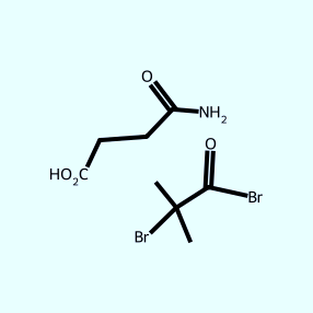 CC(C)(Br)C(=O)Br.NC(=O)CCC(=O)O